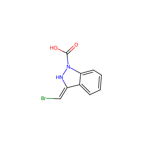 O=C(O)N1NC(=CBr)c2ccccc21